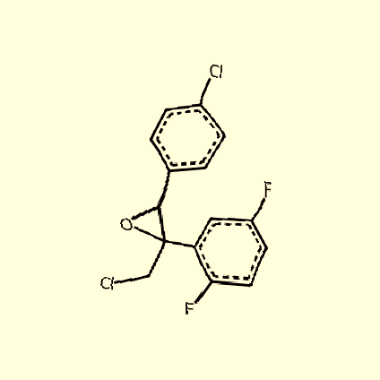 Fc1ccc(F)c(C2(CCl)OC2c2ccc(Cl)cc2)c1